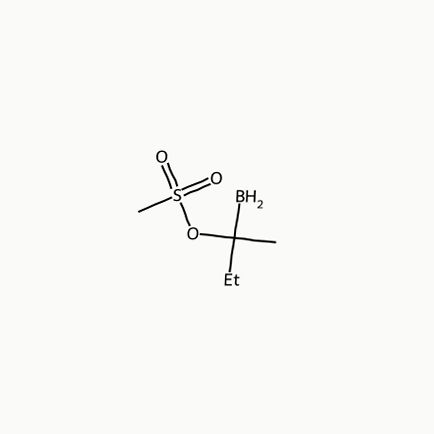 BC(C)(CC)OS(C)(=O)=O